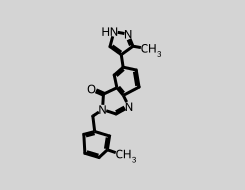 Cc1cccc(Cn2cnc3ccc(-c4c[nH]nc4C)cc3c2=O)c1